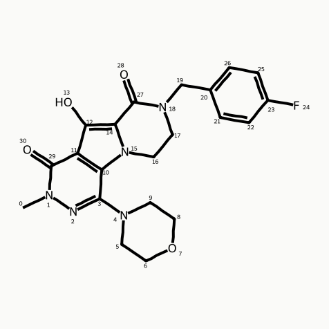 Cn1nc(N2CCOCC2)c2c(c(O)c3n2CCN(Cc2ccc(F)cc2)C3=O)c1=O